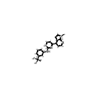 Cn1ccc2c(-c3ccnc(Nc4cccc(C(F)(F)F)c4)n3)ccnc21